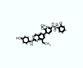 CCc1cc(-c2ccc(NS(=O)(=O)c3ccccc3Cl)nc2OC)cc2cnc(NC3CCC(O)CC3)nc12